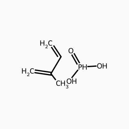 C=CC(=C)C.O=[PH](O)O